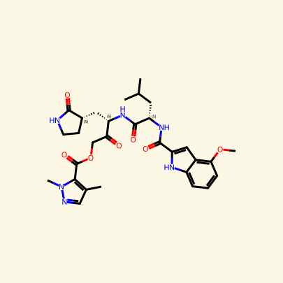 COc1cccc2[nH]c(C(=O)N[C@@H](CC(C)C)C(=O)N[C@@H](C[C@@H]3CCNC3=O)C(=O)COC(=O)c3c(C)cnn3C)cc12